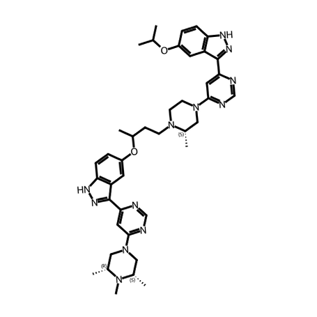 CC(C)Oc1ccc2[nH]nc(-c3cc(N4CCN(CCC(C)Oc5ccc6[nH]nc(-c7cc(N8C[C@@H](C)N(C)[C@@H](C)C8)ncn7)c6c5)[C@@H](C)C4)ncn3)c2c1